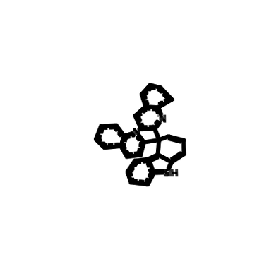 C1=CC(c2ccc3ccccc3n2)(c2ccc3ccccc3n2)C2=c3ccccc3=[SiH]C2=C1